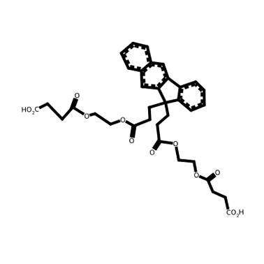 O=C(O)CCC(=O)OCCOC(=O)CCC1(CCC(=O)OCCOC(=O)CCC(=O)O)c2ccccc2-c2cc3ccccc3cc21